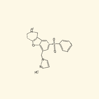 Cl.O=S(=O)(c1ccccc1)c1cc(Cn2cccn2)c2oc3c(c2c1)CNCC3